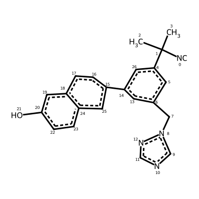 [C-]#[N+]C(C)(C)c1cc(Cn2cncn2)cc(-c2ccc3cc(O)ccc3c2)c1